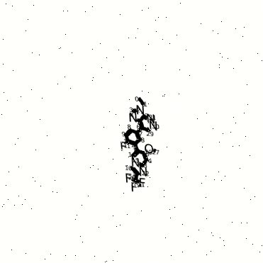 CCn1cnc2c(-c3ccc(F)c(-c4cn5cc(C(F)(F)F)nc5cc4OC)c3)cnnc21